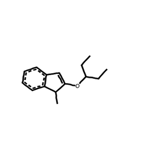 CCC(CC)OC1=Cc2ccccc2C1C